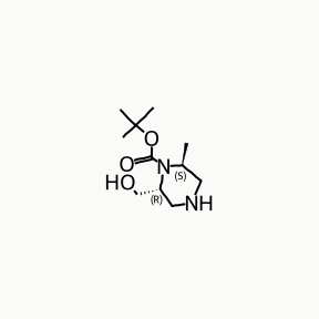 C[C@H]1CNC[C@H](CO)N1C(=O)OC(C)(C)C